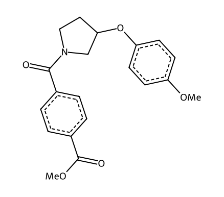 COC(=O)c1ccc(C(=O)N2CCC(Oc3ccc(OC)cc3)C2)cc1